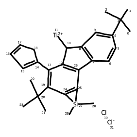 CC(C)(C)c1ccc2c(c1)[CH]([Ti+2])c1c(C3=CC=CC3)c(C(C)(C)C)c3c(c1-2)[Si]3(C)C.[Cl-].[Cl-]